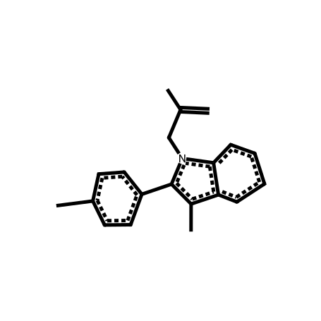 C=C(C)Cn1c(-c2ccc(C)cc2)c(C)c2ccccc21